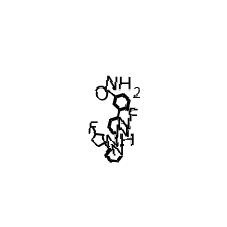 NC(=O)c1ccc(F)c(-c2ccc(NC3(c4ccccn4)CCC(F)C3)nn2)c1